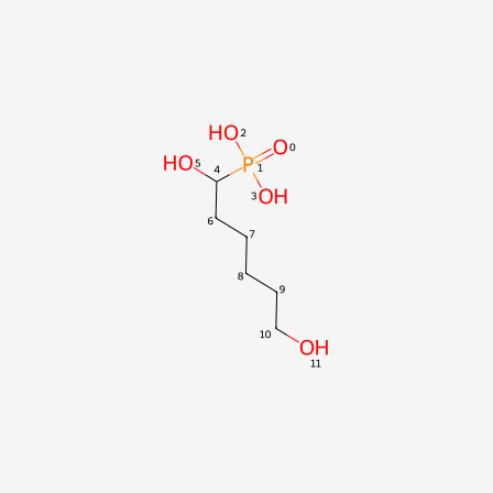 O=P(O)(O)C(O)CCCCCO